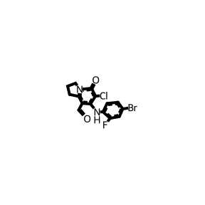 O=Cc1c(Nc2ccc(Br)cc2F)c(Cl)c(=O)n2c1CCC2